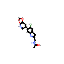 CC(=O)NCc1cc2cc(Cl)c(-c3cnc4c(c3)OCO4)cc2[nH]1